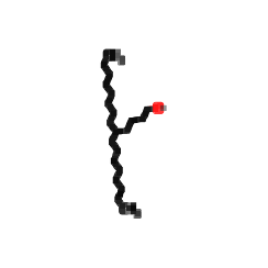 CCCCCCCCC(CCCC[O])CCCCCCCC